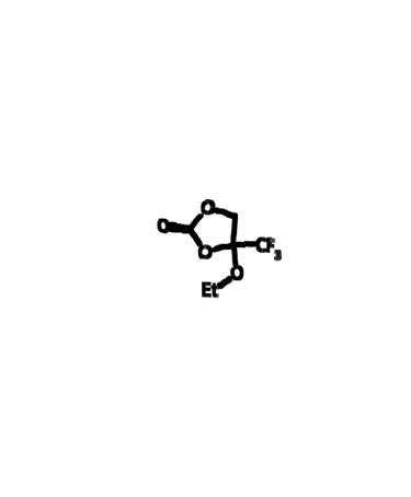 CCOC1(C(F)(F)F)COC(=O)O1